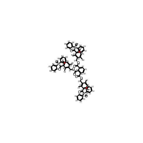 Cc1cc(C)c(C(=O)P(=O)(c2ccccc2)c2ccccc2)c(C)c1COC(=O)c1cccc(C(=O)OCc2c(C)cc(C)c(C(=O)P(=O)(c3ccccc3)c3ccccc3)c2C)c1C(=O)OCc1c(C)cc(C)c(C(=O)P(=O)(c2ccccc2)c2ccccc2)c1C